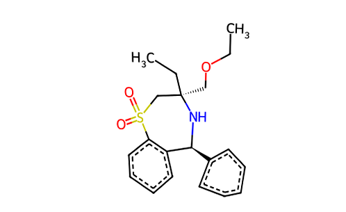 CCOC[C@@]1(CC)CS(=O)(=O)c2ccccc2[C@H](c2ccccc2)N1